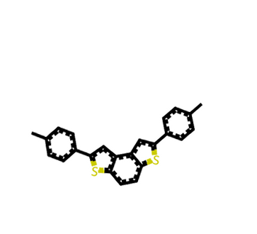 Cc1ccc(-c2cc3c(ccc4sc(-c5ccc(C)cc5)cc43)s2)cc1